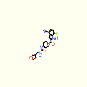 N#Cc1ccc(F)c2[nH]c(C(=O)N3CCc4nc(NCC5CCOC5)sc4C3)cc12